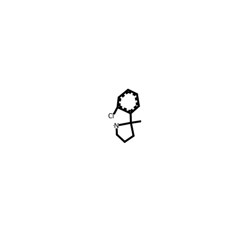 CC1(c2ccccc2Cl)CCC[N]1